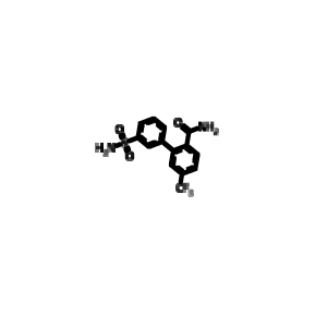 NC(=O)c1ccc(C(F)(F)F)cc1-c1cccc(S(N)(=O)=O)c1